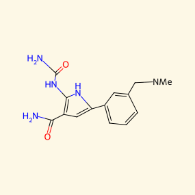 CNCc1cccc(-c2cc(C(N)=O)c(NC(N)=O)[nH]2)c1